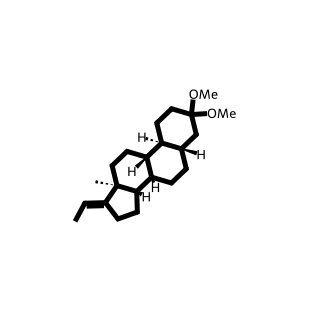 CC=C1CC[C@H]2[C@@H]3CC[C@H]4CC(OC)(OC)CC[C@@H]4[C@H]3CC[C@]12C